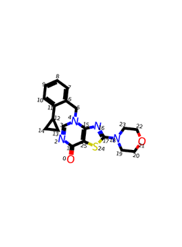 O=c1ncn(Cc2ccccc2C2CC2)c2nc(N3CCOCC3)sc12